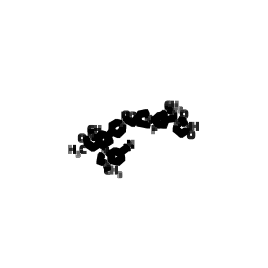 Cc1cc2c(N3CCN(C)c4ccc(C#N)cc43)cc(C3CCN(C(=O)CC4(O)CCN(c5cc6c(cc5F)c(N5CCC(=O)NC5=O)nn6C)CC4)CC3)cc2n(C)c1=O